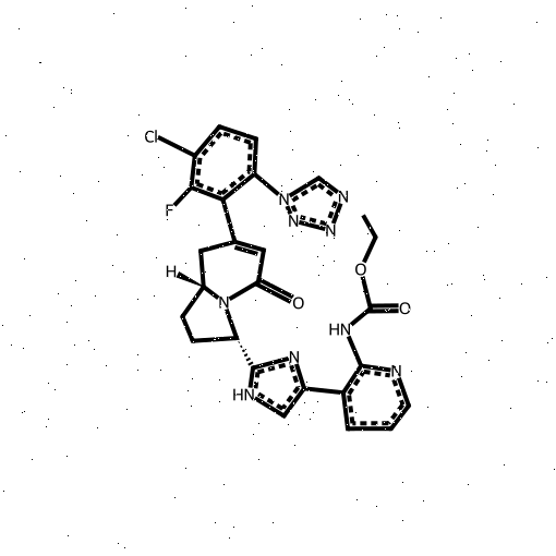 CCOC(=O)Nc1ncccc1-c1c[nH]c([C@@H]2CC[C@@H]3CC(c4c(-n5cnnn5)ccc(Cl)c4F)=CC(=O)N32)n1